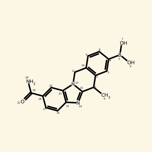 CC1c2cc(B(O)O)ccc2Cn2c1nc1ccc(C(N)=O)cc12